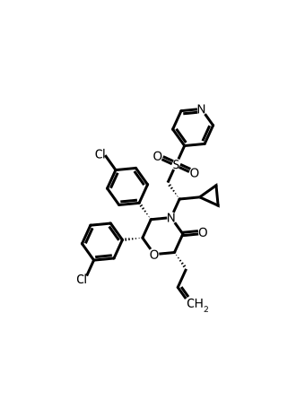 C=CC[C@@H]1O[C@H](c2cccc(Cl)c2)[C@H](c2ccc(Cl)cc2)N([C@H](CS(=O)(=O)c2ccncc2)C2CC2)C1=O